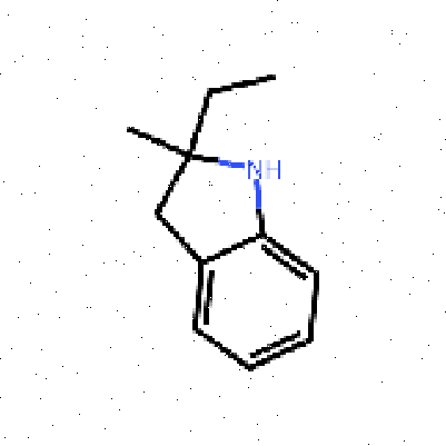 CCC1(C)Cc2ccccc2N1